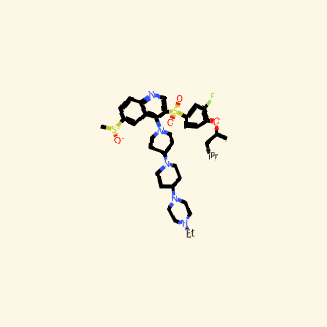 CCN1CCN(C2CCN(C3CCN(c4c(S(=O)(=O)c5ccc(OC(C)CC(C)C)c(F)c5)cnc5ccc([S+](C)[O-])cc45)CC3)CC2)CC1